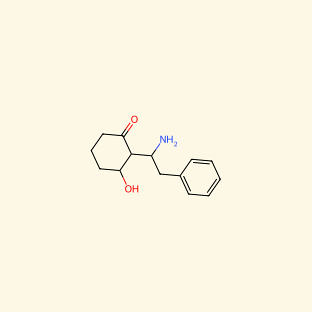 NC(Cc1ccccc1)C1C(=O)CCCC1O